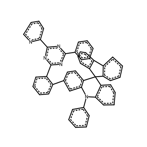 c1ccc(-c2nc(-c3ccccn3)nc(-c3ccccc3-c3ccc4c(c3)N(c3ccccc3)c3ccccc3C43c4ccccc4-c4ccccc43)n2)cc1